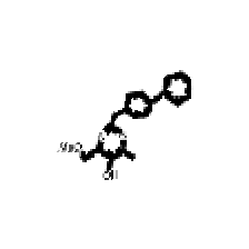 COCc1nc(Cc2ccc(-c3ccccc3)cc2)nc(C)c1O